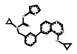 O=C(Oc1ccco1)N(Cc1cccc(-c2ccc3ncnc(NC4CC4)c3c2)c1)C1CC1